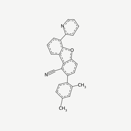 Cc1ccc(-c2ccc3oc4c(-c5ccccn5)cccc4c3c2C#N)c(C)c1